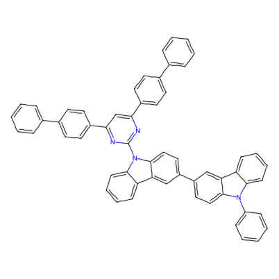 c1ccc(-c2ccc(-c3cc(-c4ccc(-c5ccccc5)cc4)nc(-n4c5ccccc5c5cc(-c6ccc7c(c6)c6ccccc6n7-c6ccccc6)ccc54)n3)cc2)cc1